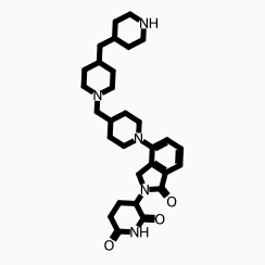 O=C1CCC(N2Cc3c(cccc3N3CCC(CN4CCC(CC5CCNCC5)CC4)CC3)C2=O)C(=O)N1